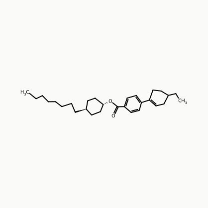 CCCCCCCC[C@H]1CC[C@H](OC(=O)c2ccc(C3=CCC(CC)CC3)cc2)CC1